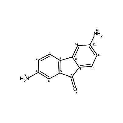 Nc1ccc2c(c1)C(=O)c1ccc(N)cc1-2